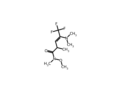 CON(C)C(=O)C(C)/C=C(\N(C)C)C(F)(F)F